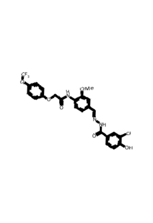 COc1cc(/C=N/NC(=O)c2ccc(O)c(Cl)c2)ccc1NC(=O)COc1ccc(OC(F)(F)F)cc1